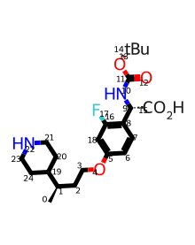 C[C@H](CCOc1ccc([C@H](NC(=O)OC(C)(C)C)C(=O)O)c(F)c1)C1CCNCC1